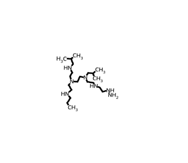 CCCNCCN(CCNCC(C)C)CCN(CCNCCNN)CC(C)C